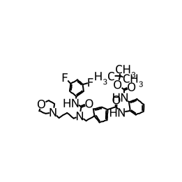 CC(C)(C)OC(=O)Nc1ccccc1NC(=O)c1ccc(CN(CCCN2CCOCC2)C(=O)Nc2cc(F)cc(F)c2)cc1